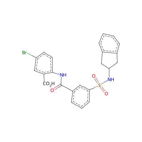 O=C(Nc1ccc(Br)cc1C(=O)O)c1cccc(S(=O)(=O)NC2Cc3ccccc3C2)c1